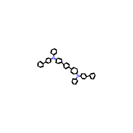 C1=CC(N(c2ccccc2)c2ccc(-c3ccccc3)cc2)=CCC=C1c1ccc(-c2ccc(N(c3ccccc3)c3ccc(-c4ccccc4)cc3)cc2)cc1